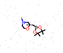 CC1(C)OB(C[C@@H]2CN(I)CCO2)OC1(C)C